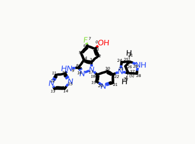 Oc1cc2c(cc1F)c(Nc1cnccn1)nn2-c1cncc(N2C[C@@H]3C[C@H]2CN3)c1